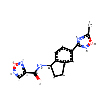 CCc1nc(-c2ccc3c(c2)CCC3NC(=O)c2cnon2)no1